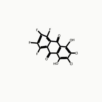 O=C1c2c(O)c(Cl)c(Cl)c(O)c2C(=O)c2c(F)c(F)c(F)c(F)c21